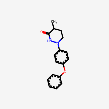 CC1CCN(c2ccc(Oc3ccccc3)cc2)NC1=O